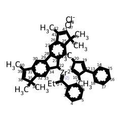 CC/[C](c1ccccc1)=[Zr+2](/[C]1=C(C)C(c2ccccc2)=CC1C)[CH]1c2cc3c(cc2-c2cc4c(cc21)C(C)(C)C=C4C)C(C)=CC3(C)C.[Cl-].[Cl-]